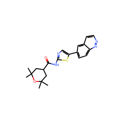 CC1(C)CC(C(=O)Nc2ncc(-c3ccc4nnccc4c3)s2)CC(C)(C)O1